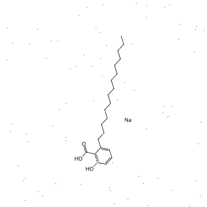 CCCCCCCCCCCCCCCc1cccc(O)c1C(=O)O.[Na]